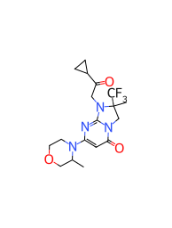 CC1COCCN1c1cc(=O)n2c(n1)N(CC(=O)C1CC1)C(C)(C(F)(F)F)C2